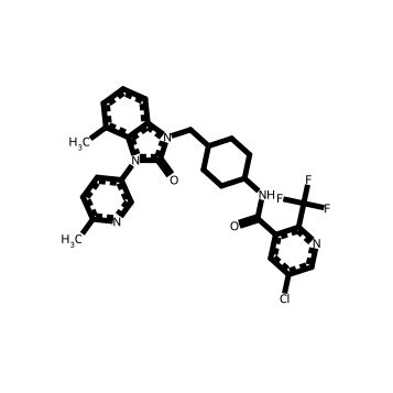 Cc1ccc(-n2c(=O)n(CC3CCC(NC(=O)c4cc(Cl)cnc4C(F)(F)F)CC3)c3cccc(C)c32)cn1